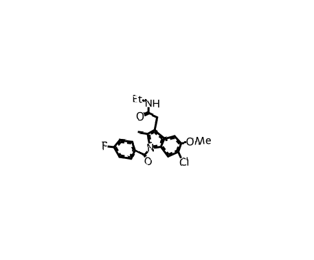 CCNC(=O)Cc1c(C)n(C(=O)c2ccc(F)cc2)c2cc(Cl)c(OC)cc12